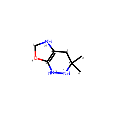 CC1(C)CC2=C(NN1)OCN2